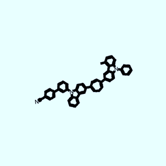 Cc1cccc2c1c1cc(C3=CCC=C(c4ccc5c(c4)c4ccccc4n5-c4cccc(-c5ccc(C#N)cc5)c4)C=C3)ccc1n2-c1ccccc1